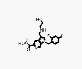 O=C(NO)c1cc2c(CNCCO)cn(Cc3ccc(F)cc3F)c2cn1